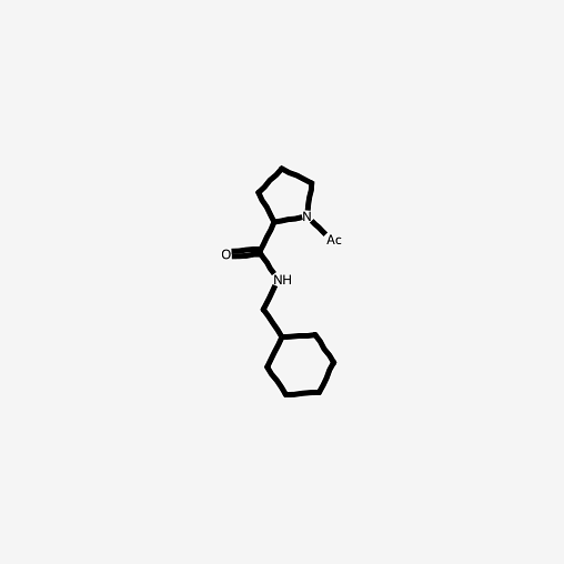 CC(=O)N1CCCC1C(=O)NCC1CCCCC1